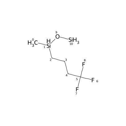 C[SiH](CCCC(F)(F)F)O[SiH3]